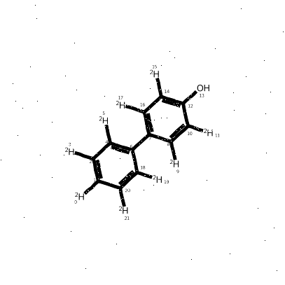 [2H]c1c([2H])c([2H])c(-c2c([2H])c([2H])c(O)c([2H])c2[2H])c([2H])c1[2H]